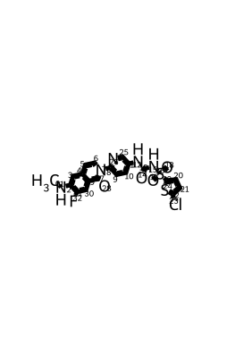 CNc1cc2ccn(-c3ccc(NC(=O)NS(=O)(=O)c4ccc(Cl)s4)cn3)c(=O)c2cc1F